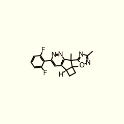 Cc1noc(C2(C)c3nnc(-c4c(F)cccc4F)cc3[C@H]3CCC32C)n1